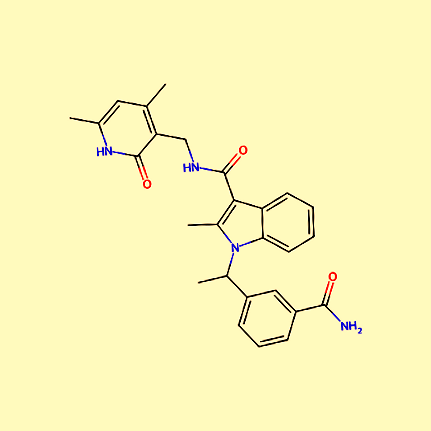 Cc1cc(C)c(CNC(=O)c2c(C)n(C(C)c3cccc(C(N)=O)c3)c3ccccc23)c(=O)[nH]1